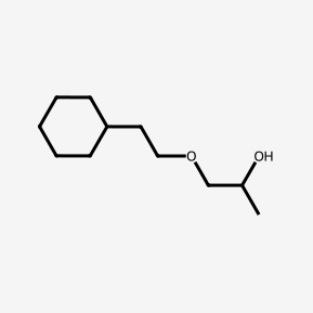 CC(O)COCCC1CCCCC1